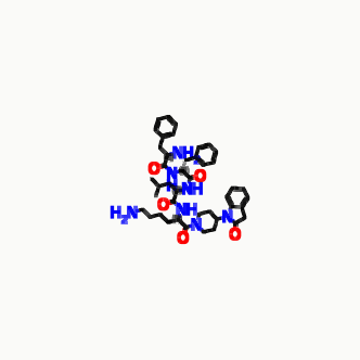 CC(C)C[C@@H](NC(=O)[C@@H](Cc1ccccc1)NC(=O)[C@H](N)Cc1ccccc1)C(=O)N[C@H](CCCCN)C(=O)N1CCC(N2C(=O)Cc3ccccc32)CC1